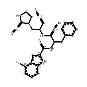 O=C=CC(C[C@@H]1CCNC1=C=O)NC(=C=O)C(Cc1ccccc1)NC(=O)c1cc2c(F)cccc2[nH]1